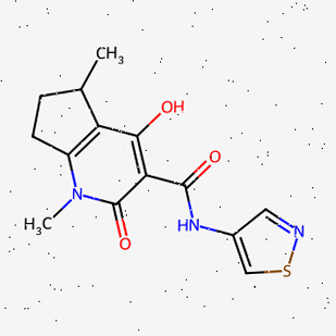 CC1CCc2c1c(O)c(C(=O)Nc1cnsc1)c(=O)n2C